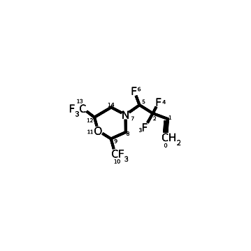 C=CC(F)(F)C(F)N1CC(C(F)(F)F)OC(C(F)(F)F)C1